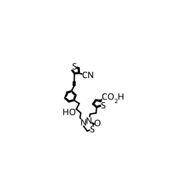 N#Cc1cscc1C#Cc1cccc(CC(O)CCN2CCSC(=O)N2CCc2ccc(C(=O)O)s2)c1